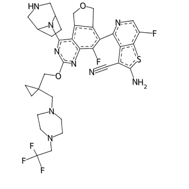 N#Cc1c(N)sc2c(F)cnc(-c3c4c(c5c(N6C7CCC6CNC7)nc(OCC6(CN7CCN(CC(F)(F)F)CC7)CC6)nc5c3F)COC4)c12